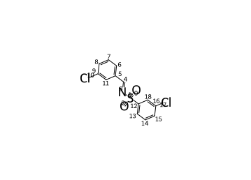 O=S(=O)(/N=C/c1cccc(Cl)c1)c1cccc(Cl)c1